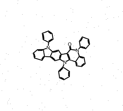 O=c1c2c3cc4c(cc3n(-c3ccccc3)c2c2ccccc2n1-c1ccccc1)c1ccccc1n4-c1ccccc1